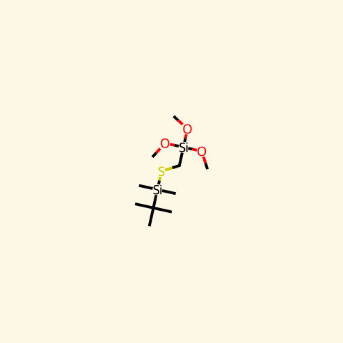 CO[Si](CS[Si](C)(C)C(C)(C)C)(OC)OC